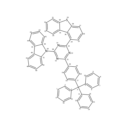 c1ccc(C(c2ccccc2)(c2ccccc2)c2ccc(-c3nc(-c4cccc5sc6ccccc6c45)nc(-n4c5ccccc5c5ccccc54)n3)cc2)cc1